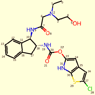 CCN(CCO)CC(=O)N[C@@H]1c2ccccc2C[C@H]1NC(=O)Oc1cc2cc(Cl)sc2[nH]1